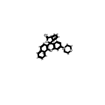 O=C1OC2(c3ccc(N4CCOCC4)cc3Oc3c2ccc2ccccc32)c2ccccc21